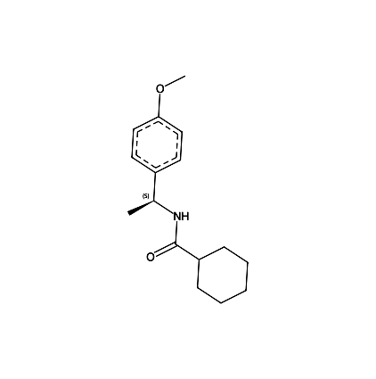 COc1ccc([C@H](C)NC(=O)C2CCCCC2)cc1